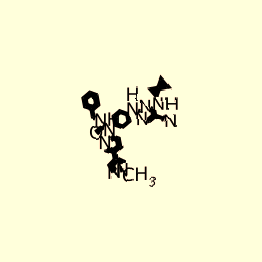 Cn1cc(-c2ccc(N(C(=O)NCc3ccccc3)[C@H]3CC[C@H](Nc4ncc(C#N)c(NC5CC56CC6)n4)CC3)nc2)cn1